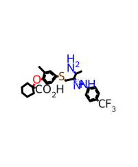 Cc1cc(SC/C(=N/Nc2ccc(C(F)(F)F)cc2)C(C)N)ccc1OC1(C(=O)O)CCCCC1